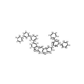 c1ccc(-c2cccc(-c3cccc(-c4ccc5oc6cc7oc8ccc(-c9nc(-c%10ccccc%10)cc(-c%10ccccc%10)n9)cc8c7cc6c5c4)c3)c2)cc1